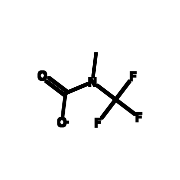 CN(C([O])=O)C(F)(F)F